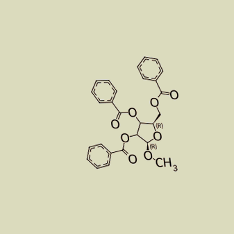 CO[C@@H]1O[C@H](COC(=O)c2ccccc2)C(OC(=O)c2ccccc2)C1OC(=O)c1ccccc1